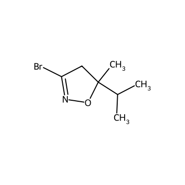 CC(C)C1(C)CC(Br)=NO1